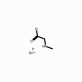 CNCC(=O)[O-].[F-].[Sn+2]